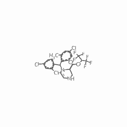 Cc1cc(Cl)ccc1C(c1ccc(Cl)cc1C)N1CCNCC1C(=O)OC(C(F)(F)F)C(F)(F)F